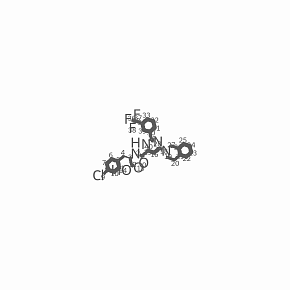 O=C(N[C@H](Cc1ccc(Cl)cc1)C(=O)O)c1cc(N2CCc3ccccc3C2)nc(-c2cccc(C(F)(F)F)c2)n1